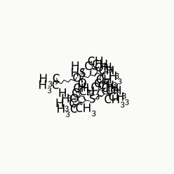 CC(C)(C)c1cc(CSCc2cc(C(C)(C)C)c(O)c(C(C)(C)C)c2)cc(C(C)(C)C)c1O.CC(C)CCCCCOC(=O)C(S)Cc1cc(C(C)(C)C)c(O)c(C(C)(C)C)c1